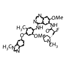 COc1cc2ncnc(Nc3cc(C)c(Oc4ccc5ncn(C)c5c4)cc3OC)c2cc1NC(=O)/C(F)=C\[C@H]1CCCN1C